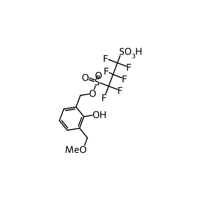 COCc1cccc(COS(=O)(=O)C(F)(F)C(F)(F)C(F)(F)S(=O)(=O)O)c1O